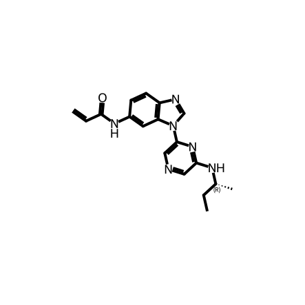 C=CC(=O)Nc1ccc2ncn(-c3cncc(N[C@H](C)CC)n3)c2c1